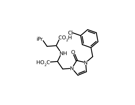 CC(C)CC(NC(Cn1ccn(Cc2cccc(Cl)c2)c1=O)C(=O)O)C(=O)O